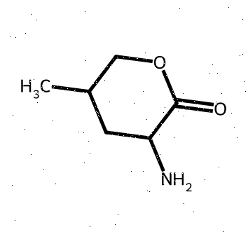 CC1COC(=O)C(N)C1